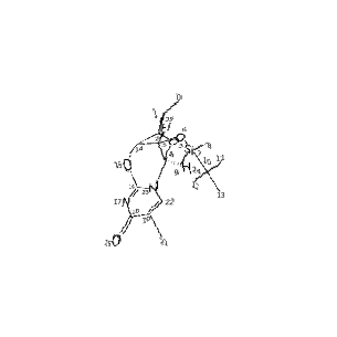 CC[C@H]1O[C@@H]2[C@@H](O[Si](C)(C)C(C)(C)C)C1Oc1nc(=O)c(C)cn12